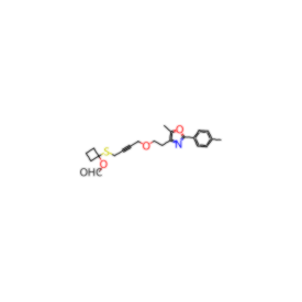 Cc1ccc(-c2nc(CCOCC#CCSC3(OC=O)CCC3)c(C)o2)cc1